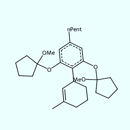 CCCCCc1cc(OC2(OC)CCCC2)c(C2C=C(C)CCC2)c(OC2(OC)CCCC2)c1